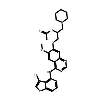 COc1cc2c(Nc3cccc4occ(Cl)c34)ncnc2cc1OCC(CN1CCCCC1)OC(C)=O